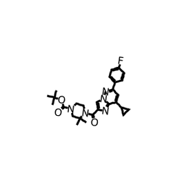 CC(C)(C)OC(=O)N1CCN(C(=O)c2cn3nc(-c4ccc(F)cc4)cc(C4CC4)c3n2)C(C)(C)C1